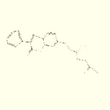 CCC(=O)CCC(O)COC1=CC2OC(=O)C(c3ccccc3)=CC2C=C1